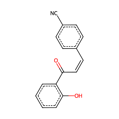 N#Cc1ccc(/C=C\C(=O)c2ccccc2O)cc1